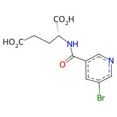 O=C(O)CC[C@@H](NC(=O)c1cncc(Br)c1)C(=O)O